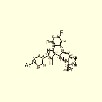 CC(=O)N1CCC(c2nc(C3=C(F)CC(F)C=C3)c(-c3ccc4nnc(C(C)C)n4n3)[nH]2)CC1